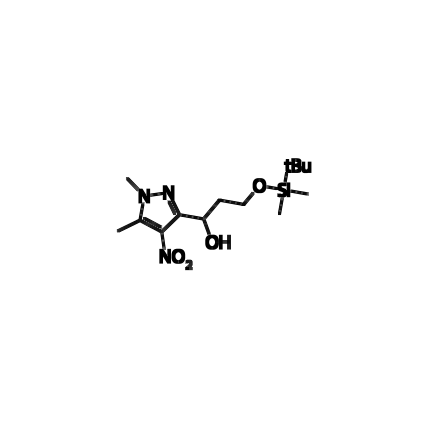 Cc1c([N+](=O)[O-])c(C(O)CCO[Si](C)(C)C(C)(C)C)nn1C